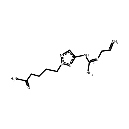 C=CC/N=C(/N)Nc1cnn(CCCCC(N)=O)n1